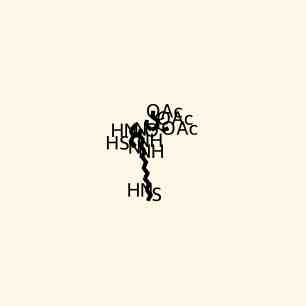 CC(=O)OC[C@@H](OC(C)=O)[C@@H](COC(C)=O)OC(C)N1CNC2=C1NC(NCCCCCCNC(C)=S)N=C2S